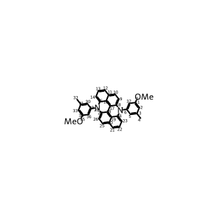 COc1cc(C)cc(-n2c3ccc4cccc5c4c3-c3c4c(cccc42)ccc3n5-c2cc(C)cc(OC)c2)c1